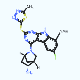 CNc1cc(F)cc2c1[nH]c1nc(Sc3nnc(C)s3)nc(N3C[C@H]4C[C@@H]3C[C@H]4N)c12